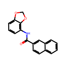 O=C(Nc1cccc2c1OCO2)c1ccc2ccccc2c1